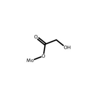 O=C(CO)[O][Mo]